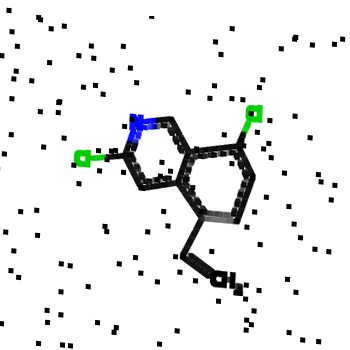 C=Cc1ccc(Cl)c2cnc(Cl)cc12